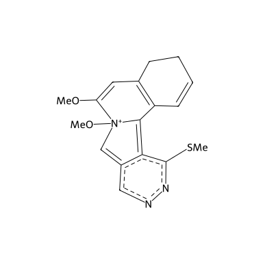 COC1=CC2=C(C=CCC2)C2=c3c(SC)nncc3=C[N+]12OC